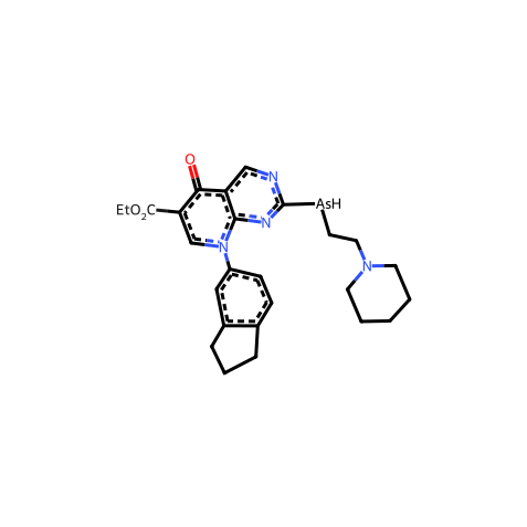 CCOC(=O)c1cn(-c2ccc3c(c2)CCC3)c2nc([AsH]CCN3CCCCC3)ncc2c1=O